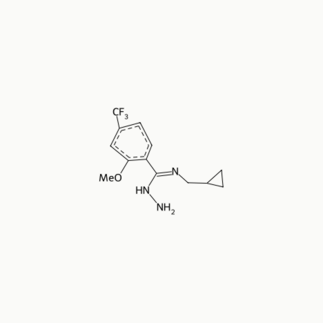 COc1cc(C(F)(F)F)ccc1C(=NCC1CC1)NN